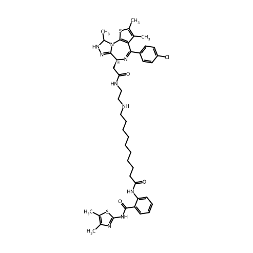 Cc1nc(NC(=O)c2ccccc2NC(=O)CCCCCCCCCNCCNC(=O)C[C@@H]2N=C(c3ccc(Cl)cc3)c3c(sc(C)c3C)N3C2=NNC3C)sc1C